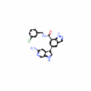 Nc1cc2c(-c3cc(C(=O)NCc4cccc(Cl)c4)c4[nH]ncc4c3)c[nH]c2cn1